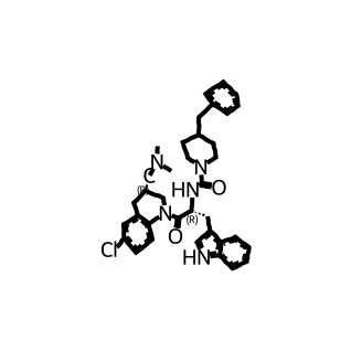 CN(C)C[C@H]1Cc2cc(Cl)ccc2N(C(=O)[C@@H](Cc2c[nH]c3ccccc23)NC(=O)N2CCC(Cc3ccccc3)CC2)C1